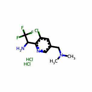 CN(C)Cc1cnc(C(N)C(F)(F)F)c(Cl)c1.Cl.Cl